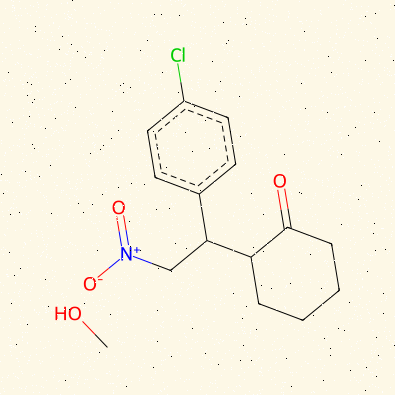 CO.O=C1CCCCC1C(C[N+](=O)[O-])c1ccc(Cl)cc1